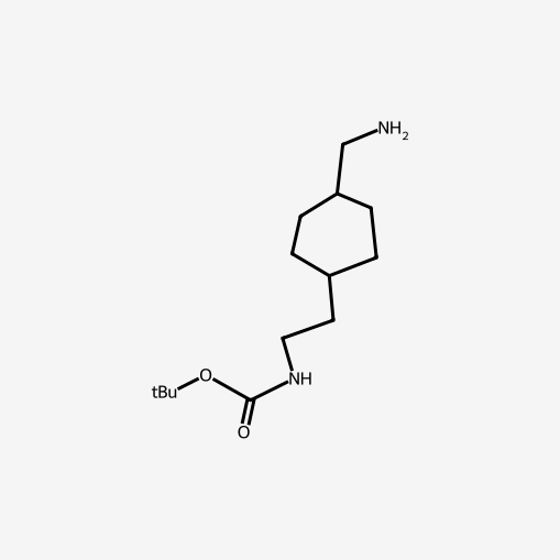 CC(C)(C)OC(=O)NCCC1CCC(CN)CC1